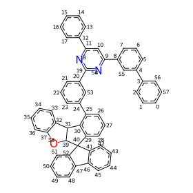 c1ccc(-c2cccc(-c3cc(-c4ccccc4)nc(-c4cccc(-c5cccc6c5C5c7ccccc7OC5C65c6ccccc6-c6ccccc65)c4)n3)c2)cc1